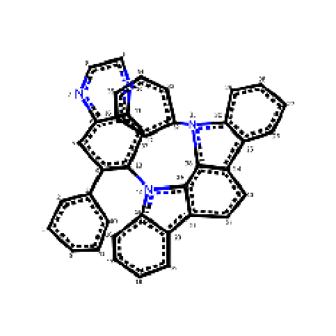 c1ccc(-c2cc3nccnc3cc2-n2c3ccccc3c3ccc4c5ccccc5n(-c5ccccc5)c4c32)cc1